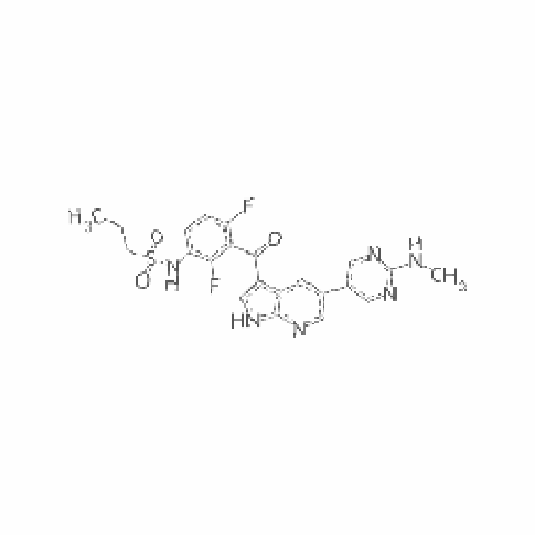 CCCS(=O)(=O)Nc1ccc(F)c(C(=O)c2c[nH]c3ncc(-c4cnc(NC)nc4)cc23)c1F